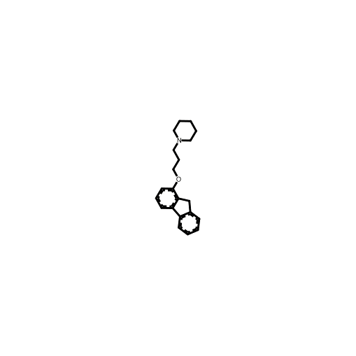 c1ccc2c(c1)Cc1c(OCCCN3CCCCC3)cccc1-2